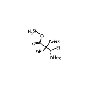 CCCCCCC(CC)C(CCC)(CCCCCC)C(=O)O[SiH3]